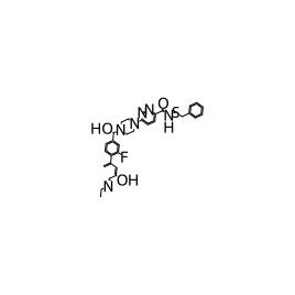 C=C(/C=C(O)\C=N\CC)c1ccc(C(O)N2CCN(c3ccc(C(=O)NSCc4ccccc4)nn3)CC2)cc1F